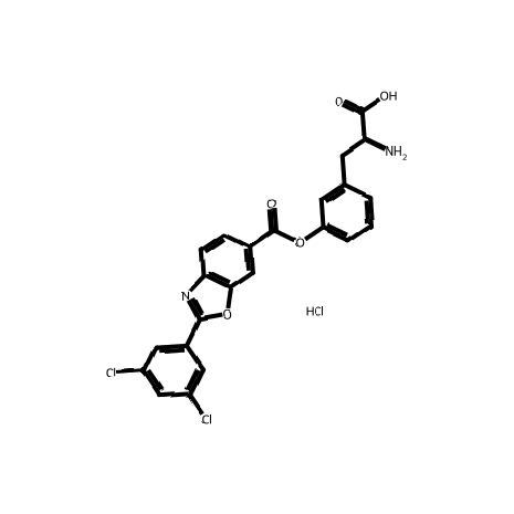 Cl.NC(Cc1cccc(OC(=O)c2ccc3nc(-c4cc(Cl)cc(Cl)c4)oc3c2)c1)C(=O)O